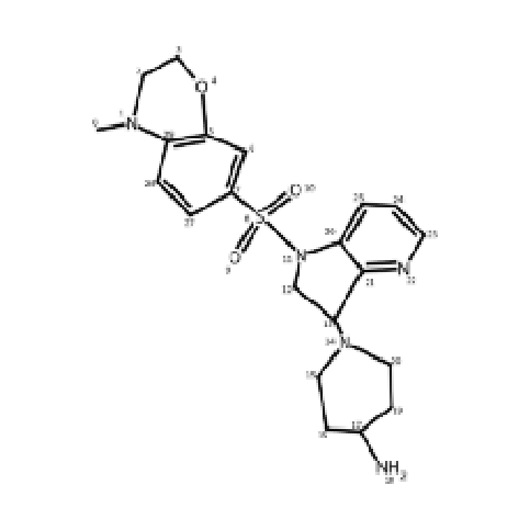 CN1CCOc2cc(S(=O)(=O)N3CC(N4CCC(N)CC4)c4ncccc43)ccc21